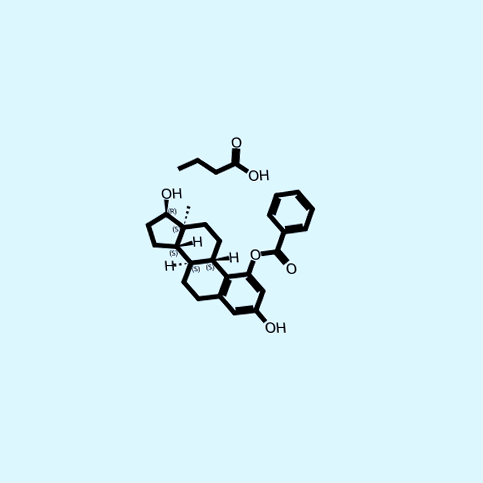 CCCC(=O)O.C[C@]12CC[C@@H]3c4c(cc(O)cc4OC(=O)c4ccccc4)CC[C@H]3[C@@H]1CC[C@H]2O